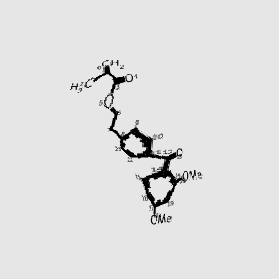 C=C(C)C(=O)OCCc1ccc(C(=O)c2ccc(OC)cc2OC)cc1